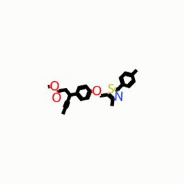 CC#CC(CC(=O)OC)c1ccc(OCc2sc(-c3ccc(C)cc3)nc2C)cc1